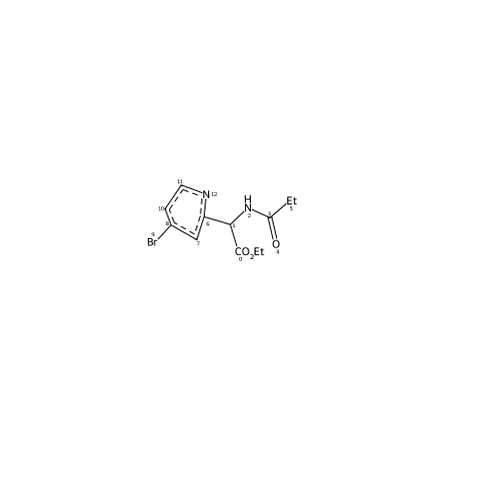 CCOC(=O)C(NC(=O)CC)c1cc(Br)ccn1